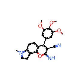 COc1cc(-c2c(C#N)c(=N)oc3c2ccc2c3ccn2C)cc(OC)c1OC